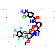 CCOC(=O)CN(NC(=O)C(C)n1cccc(NC(=O)c2ccc(N)c(Cl)c2)c1=O)C(=O)COc1c(F)c(F)c(F)c(F)c1F